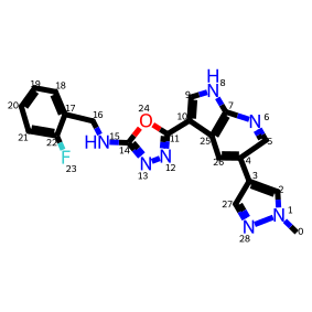 Cn1cc(-c2cnc3[nH]cc(-c4nnc(NCc5ccccc5F)o4)c3c2)cn1